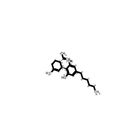 C=C(C)[C@H]1CCC(C)=C[C@@H]1c1c(O)cc(CCCCCC)cc1O